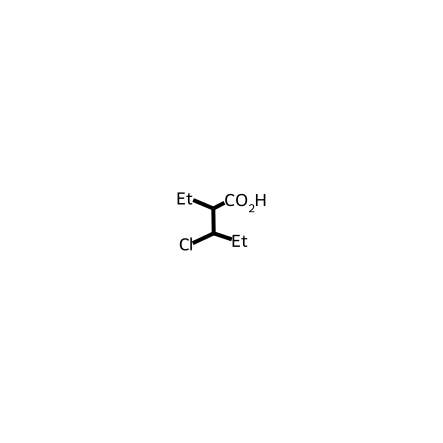 CCC(Cl)C(CC)C(=O)O